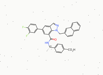 C[C@H](NC(=O)c1cc(-c2ccc(F)c(F)c2)cc2cnn(Cc3ccc4ccccc4c3)c12)c1ccc(C(=O)O)cc1